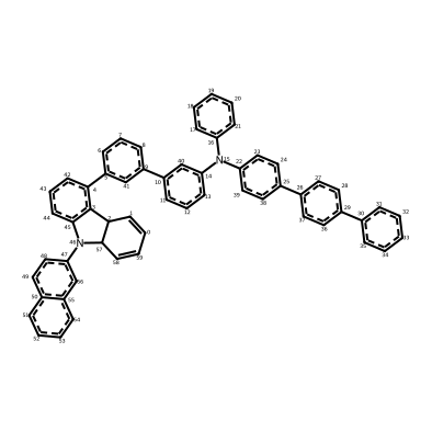 C1=CC2c3c(-c4cccc(-c5cccc(N(c6ccccc6)c6ccc(-c7ccc(-c8ccccc8)cc7)cc6)c5)c4)cccc3N(c3ccc4ccccc4c3)C2C=C1